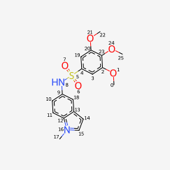 COc1cc(S(=O)(=O)Nc2ccc3c(ccn3C)c2)cc(OC)c1OC